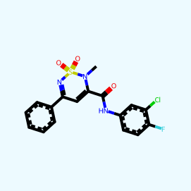 CN1C(C(=O)Nc2ccc(F)c(Cl)c2)=CC(c2ccccc2)=NS1(=O)=O